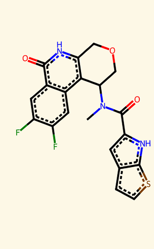 CN(C(=O)c1cc2ccsc2[nH]1)C1COCc2[nH]c(=O)c3cc(F)c(F)cc3c21